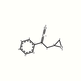 O=C=C(CC1CO1)c1ccccc1